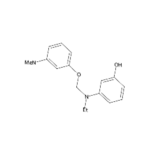 CCN(COc1cccc(NC)c1)c1cccc(O)c1